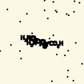 Cc1c(OCc2ccc(N)cc2N)ccc2c(CC(=O)O)coc12